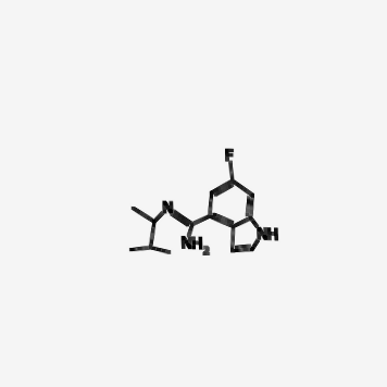 CC(C)C(C)/N=C(\N)c1cc(F)cc2[nH]ccc12